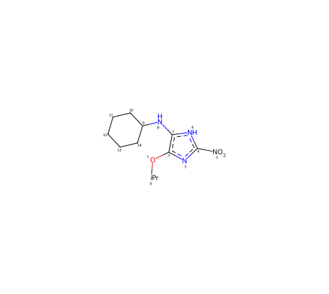 CC(C)Oc1nc([N+](=O)[O-])[nH]c1NC1CCCCC1